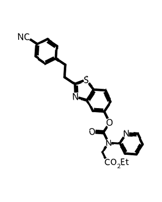 CCOC(=O)CN(C(=O)Oc1ccc2sc(CCc3ccc(C#N)cc3)nc2c1)c1ccccn1